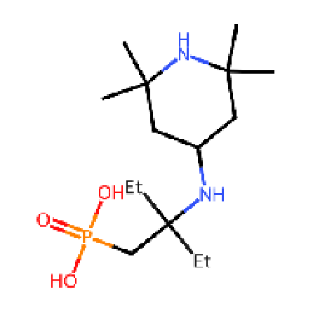 CCC(CC)(CP(=O)(O)O)NC1CC(C)(C)NC(C)(C)C1